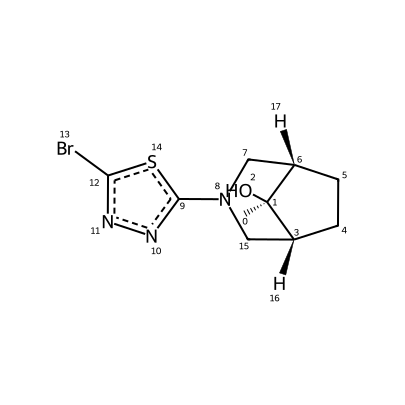 C[C@@]1(O)[C@@H]2CC[C@H]1CN(c1nnc(Br)s1)C2